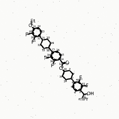 CCCC(O)c1ccc(C2CCC(OC(=O)c3ccc(C4CCC(c5ccc(OCC)c(F)c5F)CC4)c(F)c3F)CC2)c(F)c1F